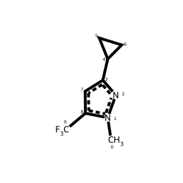 Cn1nc(C2CC2)cc1C(F)(F)F